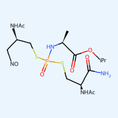 CC(=O)N[C@H](CN=O)CSP(=O)(N[C@@H](C)C(=O)OC(C)C)SC[C@H](NC(C)=O)C(N)=O